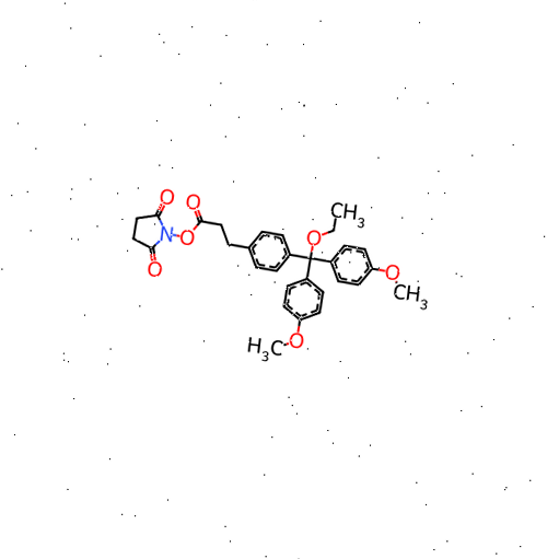 CCOC(c1ccc(CCC(=O)ON2C(=O)CCC2=O)cc1)(c1ccc(OC)cc1)c1ccc(OC)cc1